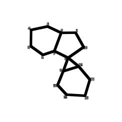 [C]1CC2CCCCC2C12C1CCCCC12